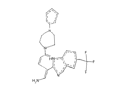 C=C(/C=C\C(=C/N)c1nc2cc(C(F)(F)F)ccc2[nH]1)N1CCN(c2ccccc2)CC1